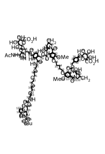 C=C1C[C@H]2[C@H](O)N(C(=O)OCc3ccc(O[C@@H]4O[C@H](C(=O)O)[C@@H](O)[C@H](O)[C@H]4O)cc3)c3cc(OCCCCCOc4cc5c(cc4OC)C(=O)N4CC(=C)C[C@H]4[C@H](O)N5C(=O)OCc4ccc(NC(=O)[C@H](CO[C@@H]5O[C@H](C(=O)O)[C@@H](O)[C@H](O)[C@H]5O)NC(=O)[C@@H](NC(C)=O)C(C)C)cc4C(=O)NCCOCCOCCOCCOCCNC(=O)OCC[C@H](CNC(=O)OC(C)(C)C)N4C(=O)C=CC4=O)c(OC)cc3C(=O)N2C1